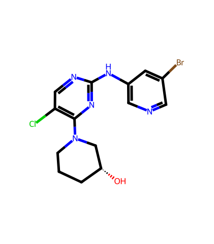 O[C@@H]1CCCN(c2nc(Nc3cncc(Br)c3)ncc2Cl)C1